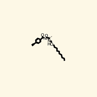 C#Cc1ccc(C(=O)NC(=O)[C@H](C)NCOCCCCCCCCCC)cc1